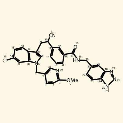 COc1ccc(Cn2cc(CC(C#N)c3cccc(C(=O)NCc4ccc5[nH]nnc5c4)c3)c3ccc(Cl)cc32)cn1